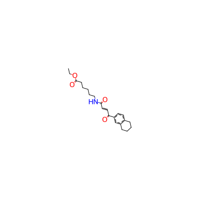 CCOC(=O)CCCCCNC(=O)C=CC(=O)c1ccc2c(c1)CCCC2